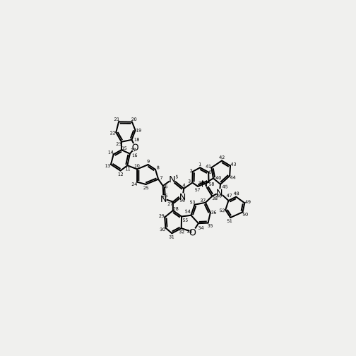 c1ccc(-c2nc(-c3ccc(-c4cccc5c4oc4ccccc45)cc3)nc(-c3cccc4oc5ccc(-c6nc7ccccc7n6-c6ccccc6)cc5c34)n2)cc1